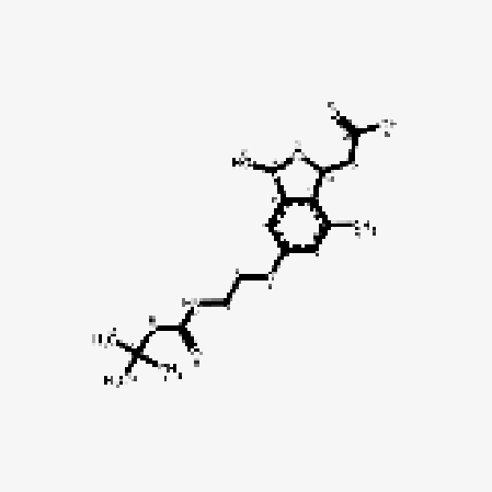 Cc1cc(OCCNC(=O)OC(C)(C)C)cc2c1C(CC(=O)O)OB2O